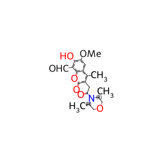 COc1cc2c(C)c(CC(=O)N3[C@H](C)COC[C@H]3C)c(=O)oc2c(C=O)c1O